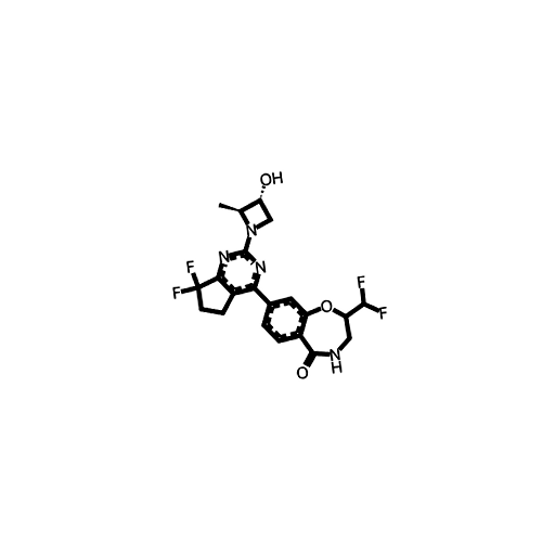 C[C@H]1[C@H](O)CN1c1nc(-c2ccc3c(c2)OC(C(F)F)CNC3=O)c2c(n1)C(F)(F)CC2